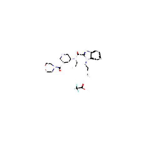 CSCCCn1c(C(=O)N(CC(C)C)[C@@H]2CNC[C@H](C(=O)N3CCOCC3)C2)nc2ccccc21.O=C(O)C(F)(F)F